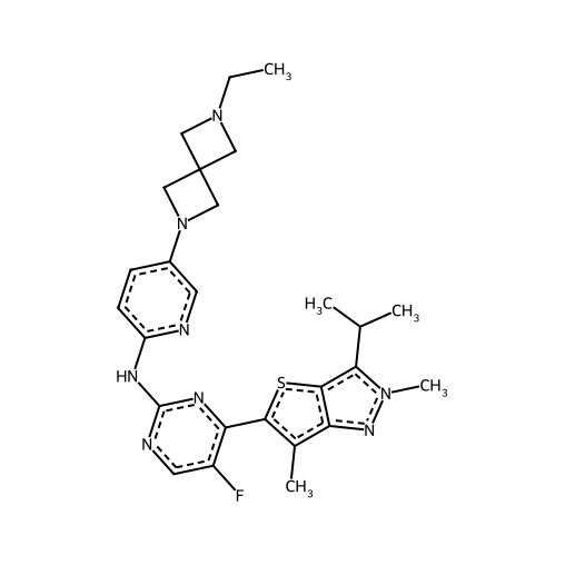 CCN1CC2(C1)CN(c1ccc(Nc3ncc(F)c(-c4sc5c(C(C)C)n(C)nc5c4C)n3)nc1)C2